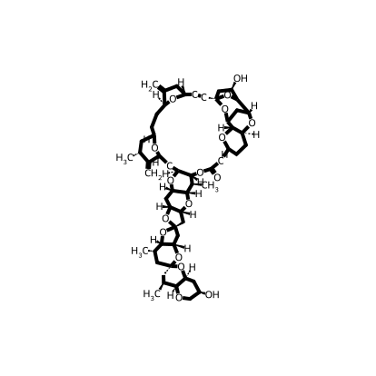 C=C1C[C@@H]2CC[C@]34C[C@@H](O)C(O3)[C@H]3CC(O4)[C@H]4O[C@H](CC[C@@H]4O3)CC(=O)O[C@@H]3[C@@H](C)[C@@H]4O[C@@H]5C[C@]6(C[C@@H]7O[C@]8(C[C@H](C)[C@@H]9OC[C@H](O)C[C@@H]9O8)C[C@H](C)[C@@H]7O6)O[C@@H]5C[C@@H]4O[C@H]3C[C@H]3O[C@@H](CC[C@@H]1O2)C[C@@H](C)C3=C